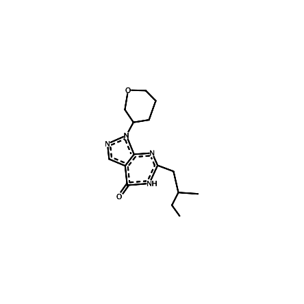 CCC(C)Cc1nc2c(cnn2C2CCCOC2)c(=O)[nH]1